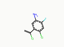 C=C(Cl)c1cc(N)c(F)cc1Cl